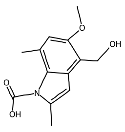 COc1cc(C)c2c(cc(C)n2C(=O)O)c1CO